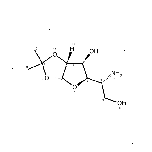 CC1(C)OC2O[C@H]([C@H](N)CO)[C@H](O)[C@H]2O1